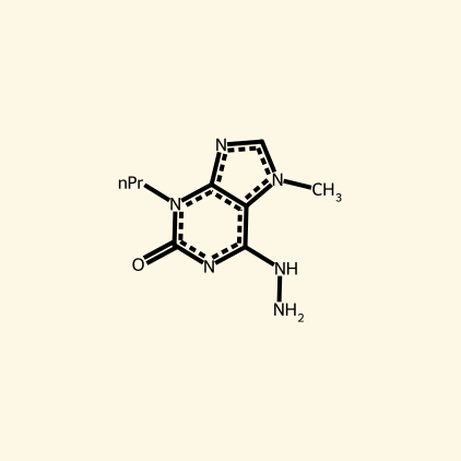 CCCn1c(=O)nc(NN)c2c1ncn2C